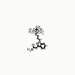 CC(C)(C)[Si](C)(C)OCCCn1nc(CC(N)=O)c2ccccc21